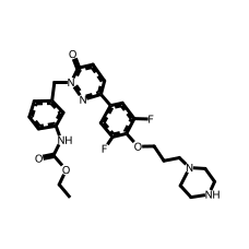 CCOC(=O)Nc1cccc(Cn2nc(-c3cc(F)c(OCCCN4CCNCC4)c(F)c3)ccc2=O)c1